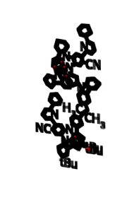 CC(C)(C)c1ccc2c(c1)c1cc(C(C)(C)C)ccc1n2-c1cc(C#N)c(-c2cccc(-c3ccccc3)n2)cc1-n1c2ccc(C(C)(C)C)cc2c2cc(C(C)(C)Cc3ccc4c(c3)c3ccccc3n4-c3ccc4c5ccccc5n(-c5cc(C#N)c(-c6cccc(-c7ccccc7)n6)cc5-n5c6ccccc6c6ccc(-n7c8ccccc8c8ccccc87)cc65)c4c3)ccc21